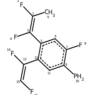 C/C(F)=C(/F)c1cc(F)c(P)cc1/C(F)=C\F